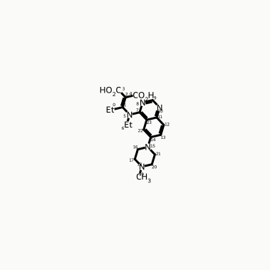 CCC(=C(C(=O)O)C(=O)O)N(CC)c1ncnc2ccc(N3CCN(C)CC3)cc12